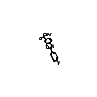 O=C(O)c1ccc2nc(-c3ccc(F)cc3)oc2c1